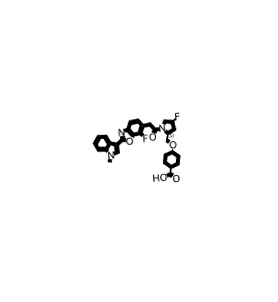 Cn1cc(-c2nc3ccc(CC(=O)N4C[C@@H](F)C[C@H]4CO[C@H]4CC[C@H](C(=O)O)CC4)c(F)c3o2)c2ccccc21